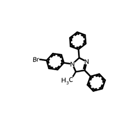 CC1C(c2ccccc2)=NC(c2ccccc2)N1c1ccc(Br)cc1